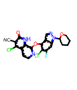 N#Cc1c(Cl)c2ccnc(Oc3c(Cl)c(F)cc4c3cnn4C3CCCCO3)c2[nH]c1=O